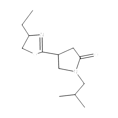 CCC1COC(C2CC(=O)N(CC(C)C)C2)=N1